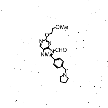 CNc1cnc(OCCOC)nc1N(C=O)Cc1ccc(CN2CCCC2)cc1